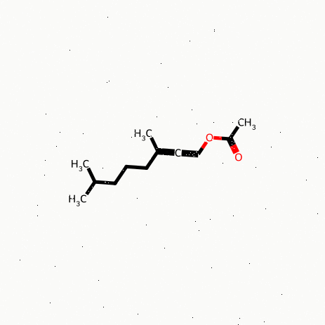 CC(=O)OC=C=C(C)CCCC(C)C